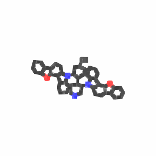 N#Cc1ccc(-c2ccncc2-n2c3ccccc3c3c4oc5ccccc5c4ccc32)c(-n2c3ccccc3c3c4oc5ccccc5c4ccc32)c1